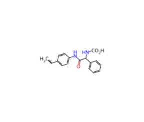 C=Cc1ccc(NC(=O)C(NC(=O)O)c2ccccc2)cc1